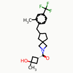 Cc1cc(C(F)(F)F)ccc1CC1CCC2(C1)CN(C(=O)[C@H]1C[C@@](C)(O)C1)C2